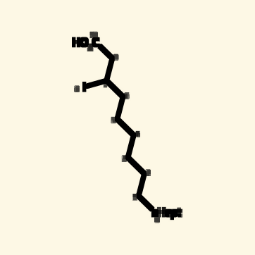 CCCCCCCCCCCCCC(I)CC(=O)O